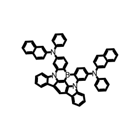 c1ccc(N(c2ccc3c(c2)-n2c4ccccc4c4cc5c6ccccc6n6c5c(c42)B3c2ccc(N(c3ccccc3)c3ccc4ccccc4c3)cc2-6)c2ccc3ccccc3c2)cc1